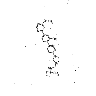 COc1cc(-c2ccc(-c3ccc(N4CC[C@@H](CNC5(C)CCC5)C4)nn3)c(O)c2)ncn1